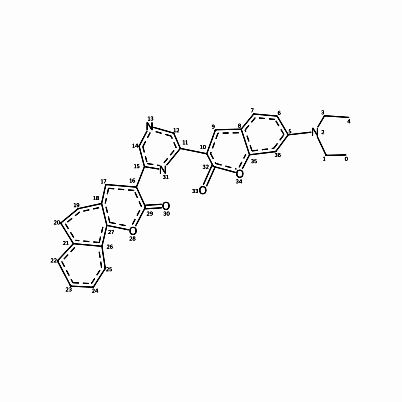 CCN(CC)c1ccc2cc(-c3cncc(-c4cc5ccc6ccccc6c5oc4=O)n3)c(=O)oc2c1